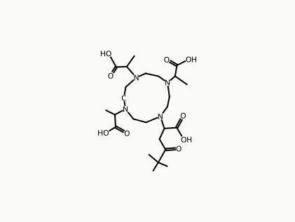 CC(C(=O)O)N1CCN(C(C)C(=O)O)CCN(C(CC(=O)C(C)(C)C)C(=O)O)CCN(C(C)C(=O)O)CC1